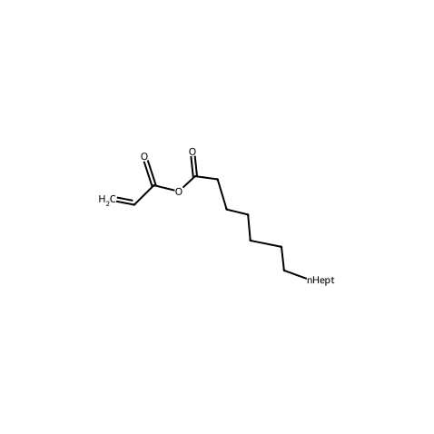 C=CC(=O)OC(=O)CCCCCCCCCCCCC